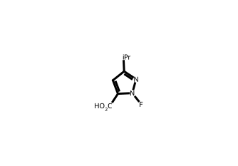 CC(C)c1cc(C(=O)O)n(F)n1